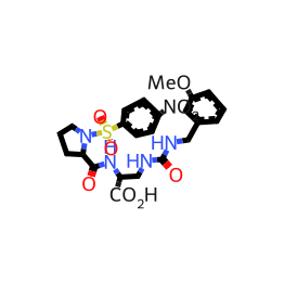 COc1cccc(CNC(=O)NCC(NC(=O)C2CCCN2S(=O)(=O)c2ccc([N+](=O)[O-])cc2)C(=O)O)c1